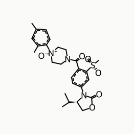 Cc1ccc([N+]2([O-])CCN(C(=O)c3ccc(N4C(=O)OC[C@H]4C(C)C)cc3S(C)(=O)=O)CC2)c(C)c1